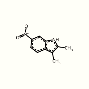 Cc1[nH]c2cc([N+](=O)[O-])ccc2c1C